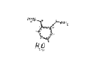 NCc1ccccc1CN.O